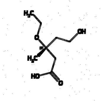 CCO[C@](C)(CCO)CC(=O)O